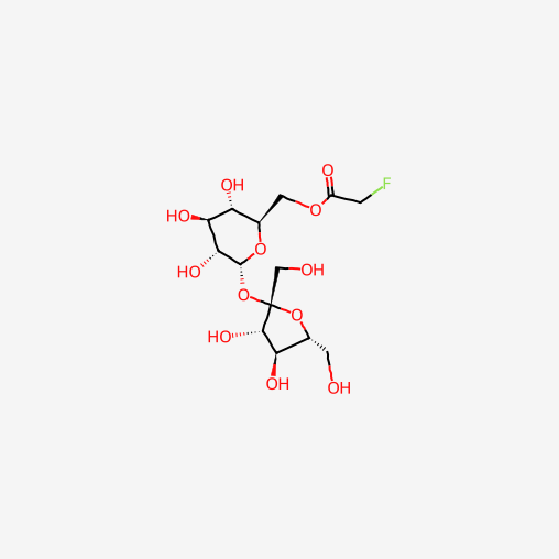 O=C(CF)OC[C@H]1O[C@H](O[C@]2(CO)O[C@H](CO)[C@@H](O)[C@@H]2O)[C@H](O)[C@@H](O)[C@@H]1O